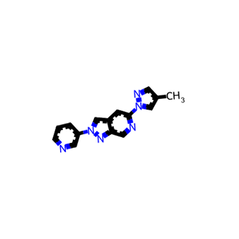 Cc1cnn(-c2cc3cn(-c4cccnc4)nc3cn2)c1